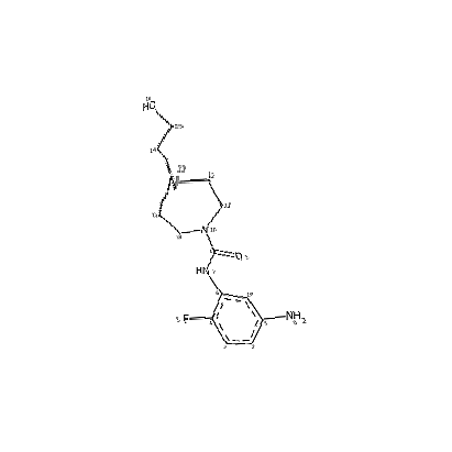 Nc1ccc(F)c(NC(=O)N2CCN(CCO)CC2)c1